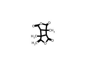 C=C1OC(=O)C2C1(C)C1C(=O)OC(=O)C21C